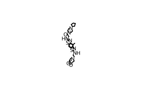 Cc1c2nc(NCCN3CCS(=O)(=O)CC3)sc2cc2sc(NCC(=O)N3CCN(C4CCCC4)CC3)nc12